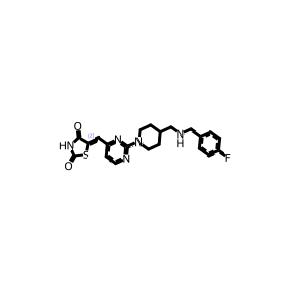 O=C1NC(=O)/C(=C/c2ccnc(N3CCC(CNCc4ccc(F)cc4)CC3)n2)S1